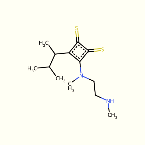 CNCCN(C)c1c(C(C)C(C)C)c(=S)c1=S